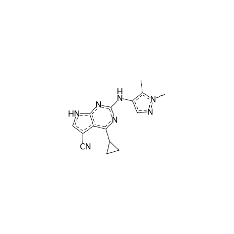 Cc1c(Nc2nc(C3CC3)c3c(C#N)c[nH]c3n2)cnn1C